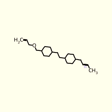 C=CCOCC1CCC(CCC2CCC(C/C=C/C)CC2)CC1